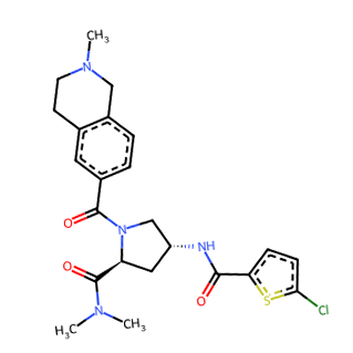 CN1CCc2cc(C(=O)N3C[C@H](NC(=O)c4ccc(Cl)s4)C[C@H]3C(=O)N(C)C)ccc2C1